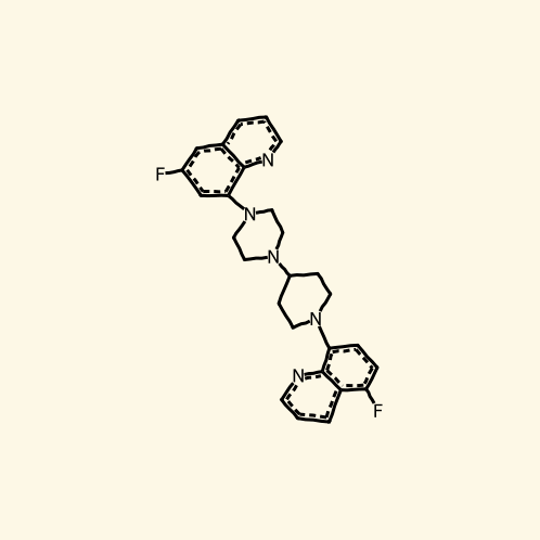 Fc1cc(N2CCN(C3CCN(c4ccc(F)c5cccnc45)CC3)CC2)c2ncccc2c1